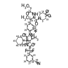 CCC(=O)N[C@@H](C(=O)N1CCS(=O)(=O)CC1)[C@@H](C)c1ccc(NC(=O)[C@](CC)(NC(=O)C(F)(F)c2cccc(C#N)c2)C2CCCCC2)c(F)c1